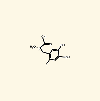 C[C@@H](Cc1cc(O)c(O)cc1F)C(=O)O